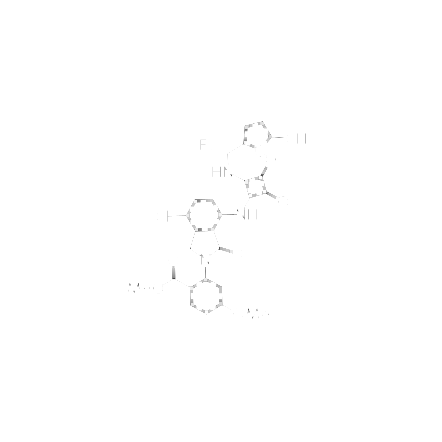 CC[C@@H](Nc1c(Nc2ccc(Cl)c3c2C(=O)N(c2cc(OC)ccc2C(=O)OC)C3)c(=O)c1=O)c1ccc(C)o1